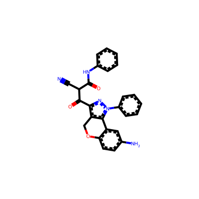 N#CC(C(=O)Nc1ccccc1)C(=O)c1nn(-c2ccccc2)c2c1COc1ccc(N)cc1-2